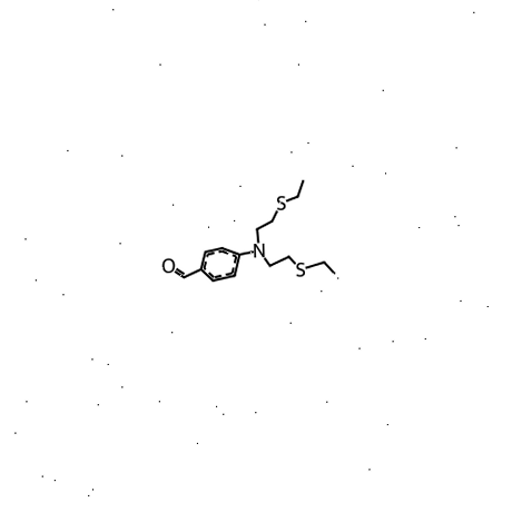 CCSCCN(CCSCC)c1ccc(C=O)cc1